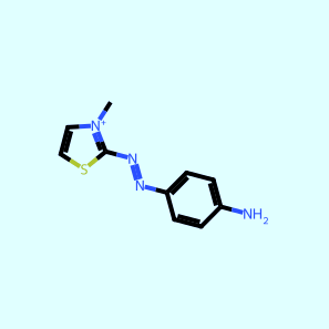 C[n+]1ccsc1N=Nc1ccc(N)cc1